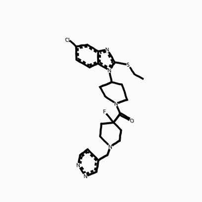 CCSc1nc2cc(Cl)ccc2n1C1CCN(C(=O)C2(F)CCN(Cc3ccnnc3)CC2)CC1